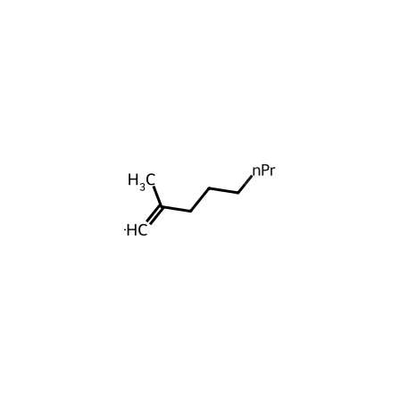 [CH]=C(C)CCCCCC